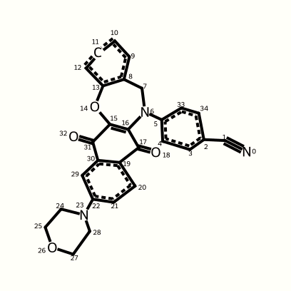 N#Cc1ccc(N2Cc3ccccc3OC3=C2C(=O)c2ccc(N4CCOCC4)cc2C3=O)cc1